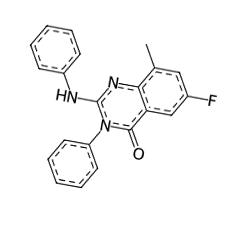 Cc1cc(F)cc2c(=O)n(-c3ccccc3)c(Nc3ccccc3)nc12